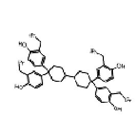 CC(C)Cc1cc(C2(c3ccc(O)c(CC(C)C)c3)CCC(C3CCC(c4ccc(O)c(CC(C)C)c4)(c4ccc(O)c(CC(C)C)c4)CC3)CC2)ccc1O